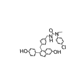 CCN(C(=O)NCc1ccc(Cc2c(-c3ccc(O)cc3)ccc3cc(O)ccc23)cc1)c1ccc(Cl)cc1